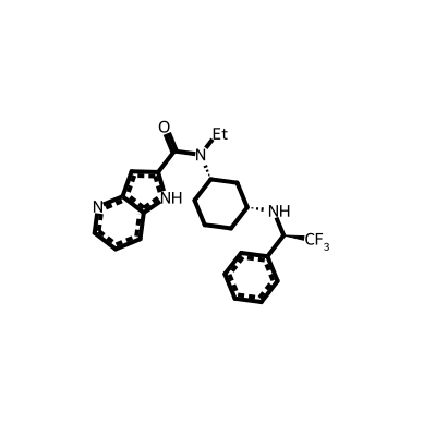 CCN(C(=O)c1cc2ncccc2[nH]1)[C@H]1CCC[C@@H](N[C@H](c2ccccc2)C(F)(F)F)C1